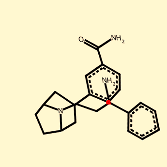 NC(=O)c1cccc(C2CC3CCC(C2)N3CCC(N)c2ccccc2)c1